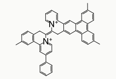 Cc1ccc2c(c1)-c1cc(-c3ccccc3)cc[n+]1/C(=C1\Cc3cc4c5ccc(C)cc5c5ccc(C)cc5c4cc3-c3cccc[n+]31)C2